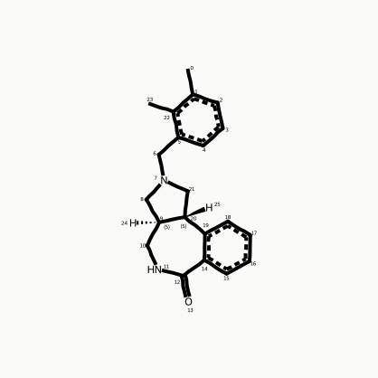 Cc1cccc(CN2C[C@@H]3CNC(=O)c4ccccc4[C@H]3C2)c1C